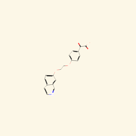 O=C(O)C(=O)c1ccc(OCCOc2ccc3ccncc3c2)cc1